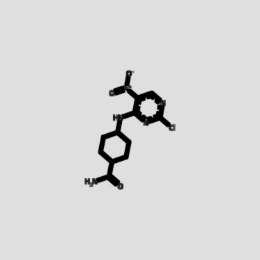 NC(=O)C1CCC(Nc2nc(Cl)ncc2[N+](=O)[O-])CC1